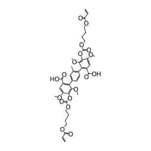 C=CC(=O)OCCCCOC(=O)Oc1c(OC)cc(C(=O)O)c(-c2ccc(-c3c(C(=O)O)cc(OC)c(OC(=O)OCCCCOC(=O)C=C)c3OC)c(C)c2)c1OC